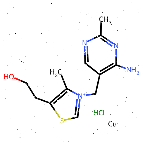 Cc1ncc(C[n+]2csc(CCO)c2C)c(N)n1.Cl.[Cu]